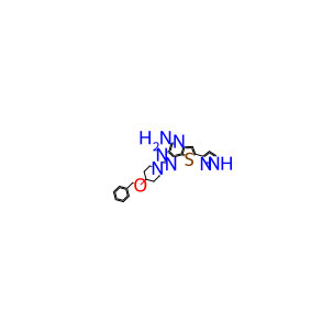 Cn1c(N2CCC(OCc3ccccc3)CC2)nc2c(N)nc3cc(-c4cc[nH]n4)sc3c21